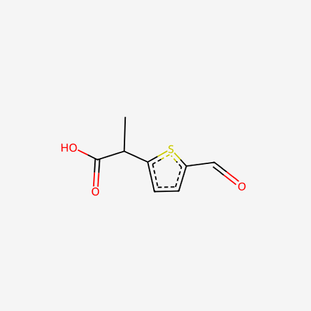 CC(C(=O)O)c1ccc(C=O)s1